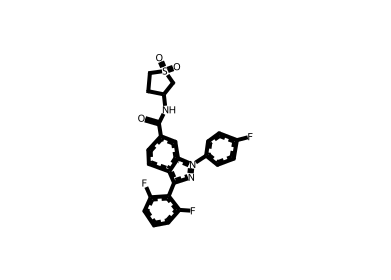 O=C(NC1CCS(=O)(=O)C1)c1ccc2c(-c3c(F)cccc3F)nn(-c3ccc(F)cc3)c2c1